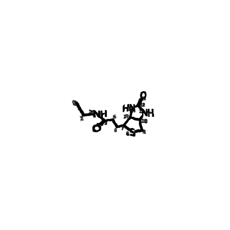 CCNC(=O)CCC1SCC2NC(=O)NC21